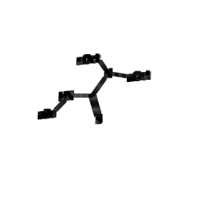 CCCCCCCCN(CCCCCCCC)C(=S)NCCCC